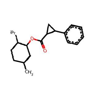 CC1CCC(C(C)C)C(OC(=O)C2CC2c2ccccc2)C1